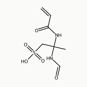 C=CC(=O)NC(C)(CS(=O)(=O)O)NC=O